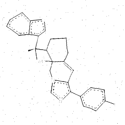 CC12Cn3cnc(-c4ccc(F)cc4)c3C=C1CCCC2[C@](C)(O)c1csc2ccccc12